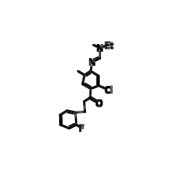 CCN(C)C=Nc1cc(Cl)c(C(=O)CCc2ccccc2F)cc1C